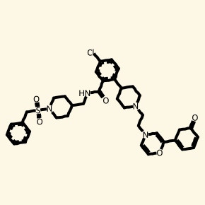 O=C1C=CC=C(C2=CN(CCN3CCC(c4ccc(Cl)cc4C(=O)NCC4CCN(S(=O)(=O)Cc5ccccc5)CC4)CC3)C=CO2)C1